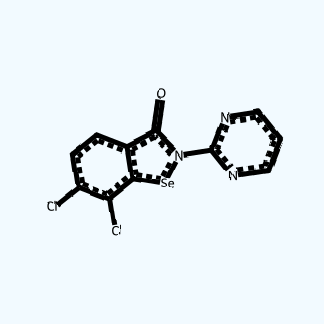 O=c1c2ccc(Cl)c(Cl)c2[se]n1-c1ncccn1